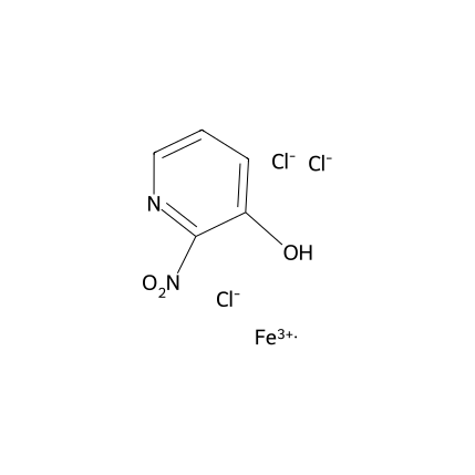 O=[N+]([O-])c1ncccc1O.[Cl-].[Cl-].[Cl-].[Fe+3]